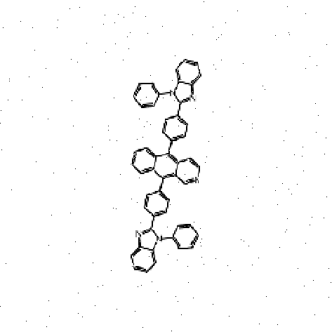 c1ccc(-n2c(-c3ccc(-c4c5ccccc5c(-c5ccc(-c6nc7ccccc7n6-c6ccccc6)cc5)c5cnccc45)cc3)nc3ccccc32)cc1